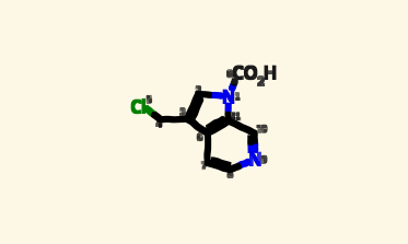 O=C(O)n1cc(CCl)c2ccncc21